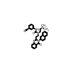 CN(C)CCN(CCc1nc2ccccc2c(=O)n1-c1ccc2ccccc2c1)C(=O)Nc1cccc(C#N)c1